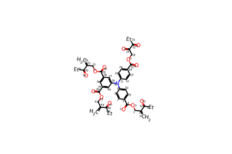 C=C(COC(=O)c1ccc(N(c2ccc(C(=O)OCC(=O)C(=O)CC)cc2)c2cc(C(=O)OCC(=C)C(=O)CC)cc(C(=O)OCC(=C)C(=O)CC)c2)cc1)C(=O)CC